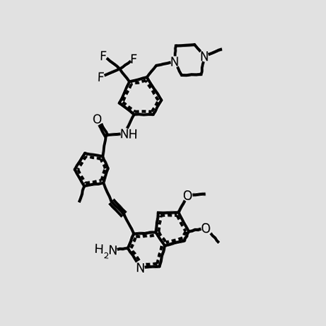 COc1cc2cnc(N)c(C#Cc3cc(C(=O)Nc4ccc(CN5CCN(C)CC5)c(C(F)(F)F)c4)ccc3C)c2cc1OC